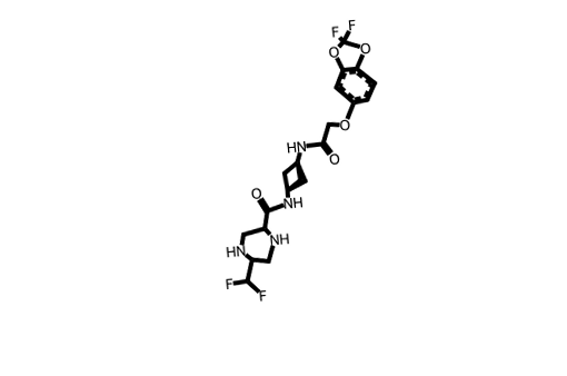 O=C(COc1ccc2c(c1)OC(F)(F)O2)NC12CC(NC(=O)C3CNC(C(F)F)CN3)(C1)C2